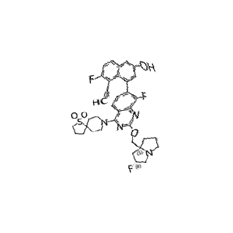 C#Cc1c(F)ccc2cc(O)cc(-c3ccc4c(N5CCC6(CCCS6(=O)=O)CC5)nc(OC[C@@]56CCCN5C[C@H](F)C6)nc4c3F)c12